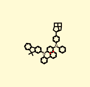 CC1(C)c2ccccc2-c2ccc(N(c3ccc(N(c4ccccc4)c4ccc(C56CC7CC8CC(C5)C87C6)cc4)cc3)c3ccccc3-c3ccccc3)cc21